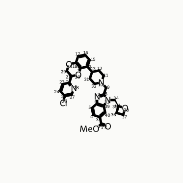 COC(=O)c1ccc2nc(CN3CCC(c4cccc5c4OC(c4ccc(Cl)cn4)CO5)CC3)n(C[C@@H]3CCO3)c2c1